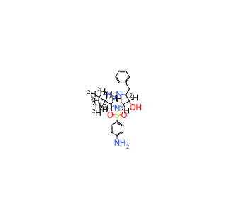 [2H]C([2H])([2H])C([2H])(C([2H])([2H])[2H])C([2H])([2H])N(C([2H])([2H])[C@@]([2H])(O)[C@@H](N)Cc1ccccc1)S(=O)(=O)c1ccc(N)cc1